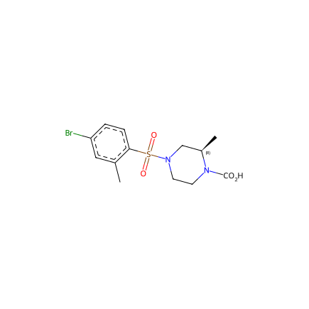 Cc1cc(Br)ccc1S(=O)(=O)N1CCN(C(=O)O)[C@H](C)C1